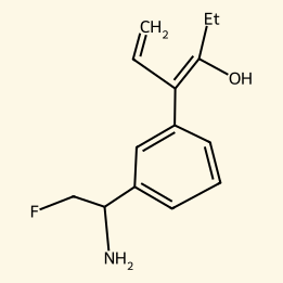 C=C/C(=C(/O)CC)c1cccc(C(N)CF)c1